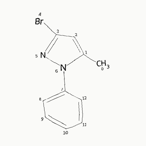 Cc1cc(Br)nn1-c1ccccc1